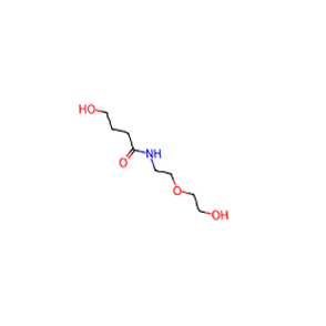 O=C(CCCO)NCCOCCO